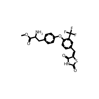 COC(=O)C(N)Cc1ccc(Oc2ccc(C=C3SC(=O)NC3=O)cc2C(F)(F)F)cc1